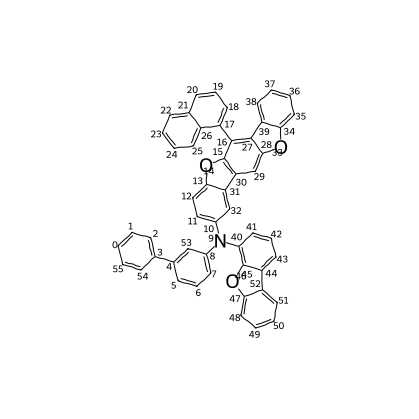 c1ccc(-c2cccc(N(c3ccc4oc5c(-c6cccc7ccccc67)c6c(cc5c4c3)oc3ccccc36)c3cccc4c3oc3ccccc34)c2)cc1